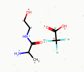 CC(N)C(=O)NCCO.O=C(O)C(F)(F)F